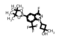 CC1(O)CC(n2nc(F)c3cc(B4OC(C)(C)C(C)(C)O4)cc(C(F)(F)F)c32)C1